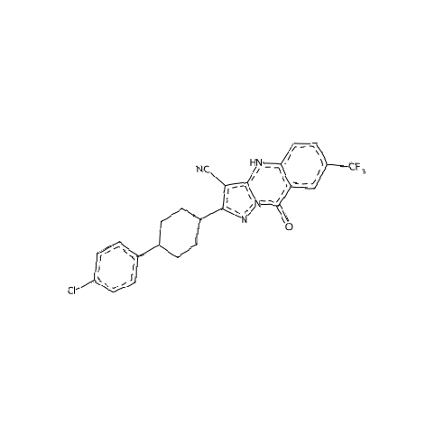 N#Cc1c(C2CCC(c3ccc(Cl)cc3)CC2)nn2c(=O)c3cc(C(F)(F)F)ccc3[nH]c12